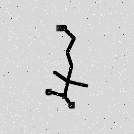 CC(C)(CCCO)N(Cl)Cl